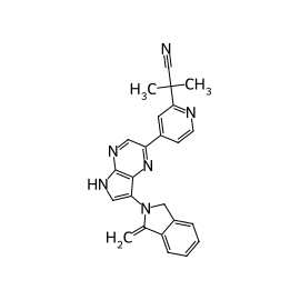 C=C1c2ccccc2CN1c1c[nH]c2ncc(-c3ccnc(C(C)(C)C#N)c3)nc12